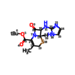 CC1=C(C(=O)OC(C)(C)C)N2C(=O)C(Nc3ncc[nH]3)[C@@H]2SC1